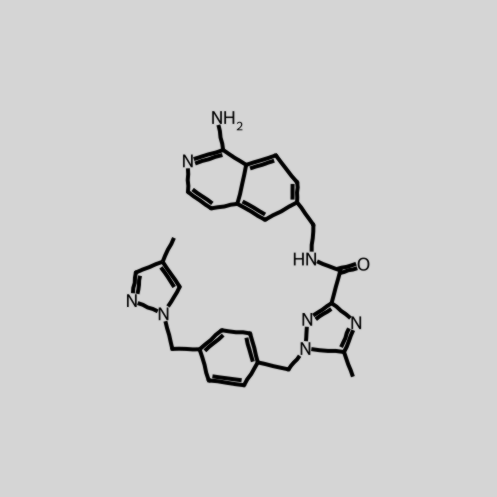 Cc1cnn(Cc2ccc(Cn3nc(C(=O)NCc4ccc5c(N)nccc5c4)nc3C)cc2)c1